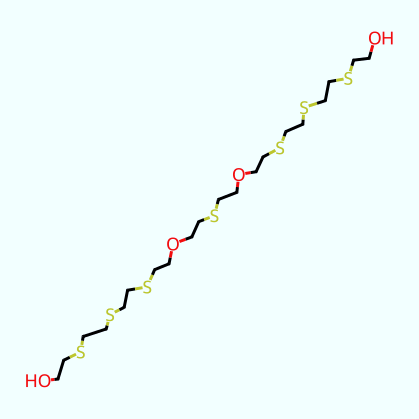 OCCSCCSCCSCCOCCSCCOCCSCCSCCSCCO